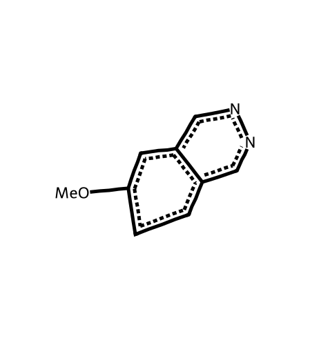 COc1ccc2cnncc2c1